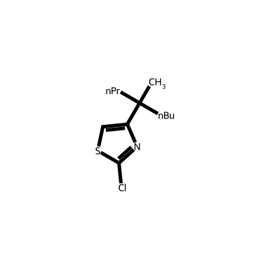 CCCCC(C)(CCC)c1csc(Cl)n1